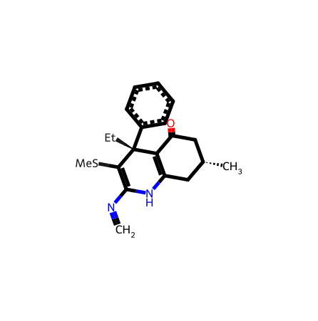 C=NC1=C(SC)[C@](CC)(c2ccccc2)C2=C(C[C@@H](C)CC2=O)N1